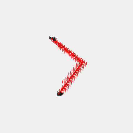 O=C(O)O.O=C(O)O.O=C(O)O.O=C(O)O.O=C(O)O.O=C(O)O.O=C(O)O.O=C(O)O.O=C(O)O.O=C(O)O.O=C(O)O.O=C(O)O.O=C(O)O.O=C(O)O.O=C(O)O.O=C(O)O.O=C(O)O.O=C(O)O.O=C(O)O.O=C(O)O.O=C([O-])O.O=C([O-])O.O=C([O-])O.O=C([O-])O.O=C([O-])O.O=C([O-])O.O=C([O-])O.O=C([O-])O.O=C([O-])O.[Na+].[Na+].[Na+].[Na+].[Na+].[Na+].[Na+].[Na+].[Na+]